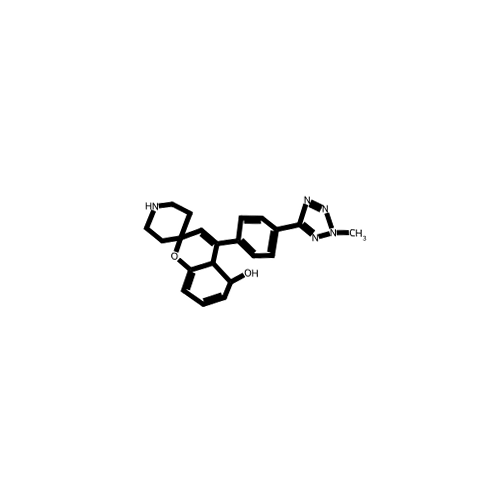 Cn1nnc(-c2ccc(C3=CC4(CCNCC4)OC4=CC=CC(O)C43)cc2)n1